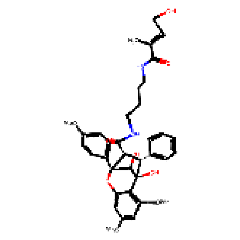 COc1ccc([C@]23Oc4cc(OC)cc(OC)c4[C@](O)(C2O)[C@@H](c2ccccc2)[C@@H]3C(=O)NCCCCNC(=O)/C(C)=C/CO)cc1